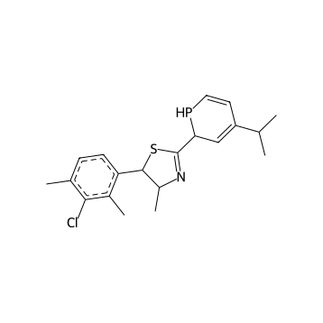 Cc1ccc(C2SC(C3C=C(C(C)C)C=CP3)=NC2C)c(C)c1Cl